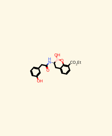 CCOC(=O)c1cccc2c1OB(O)[C@@H](NC(=O)Cc1cccc(O)c1)C2